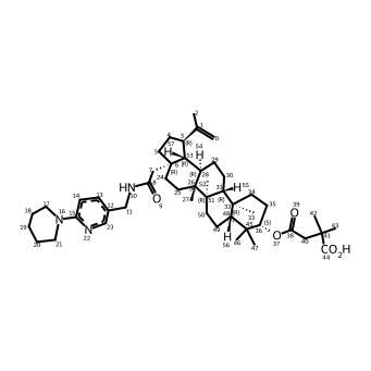 C=C(C)[C@@H]1CC[C@]2(CC(=O)NCc3ccc(N4CCCCC4)nc3)CC[C@]3(C)[C@H](CC[C@@H]4[C@@]5(C)CC[C@H](OC(=O)CC(C)(C)C(=O)O)C(C)(C)[C@@H]5CC[C@]43C)[C@@H]12